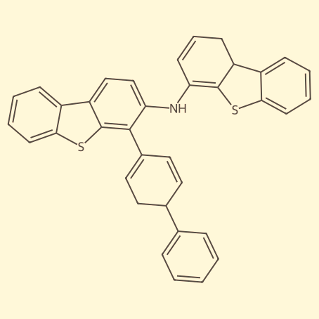 C1=CC(Nc2ccc3c(sc4ccccc43)c2C2=CCC(c3ccccc3)C=C2)=C2Sc3ccccc3C2C1